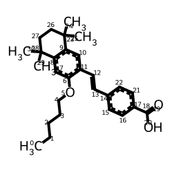 CCCCCOc1cc2c(cc1/C=C/c1ccc(C(=O)O)cc1)C(C)(C)CCC2(C)C